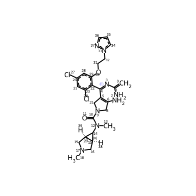 C=C(N)/N=C(\C1=C(N)CN(C(=O)N(C)C2[C@H]3CN(C)C[C@@H]23)C1)c1c(Cl)cc(Cl)cc1OCCn1cccn1